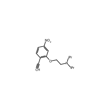 C#Cc1ccc([N+](=O)[O-])cc1OCCN(C(C)C)C(C)C